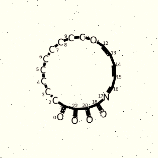 O=C1CCCCCCCCCOC=CC=CC=NC(=O)C(=O)C1=O